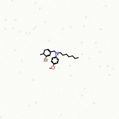 CCCCCCCN(CC1=CCC(C)C(Br)=C1)c1ccc(OC)cc1